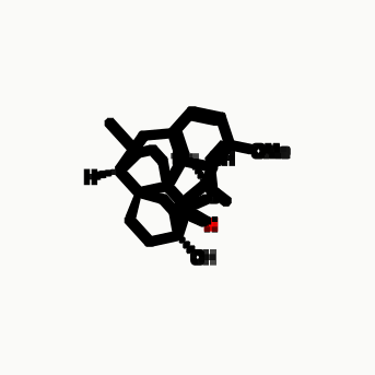 COc1ccc2c3c1O[C@@]1(C)C34CCC(C)[C@H](C2)[C@]42CC[C@@]1(O)[C@@H]([C@](C)(O)C(C)(C)C)C2